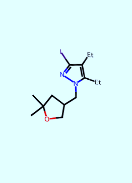 CCc1c(I)nn(CC2COC(C)(C)C2)c1CC